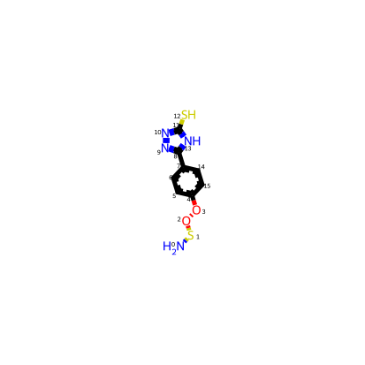 NSOOc1ccc(-c2nnc(S)[nH]2)cc1